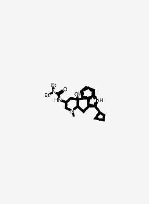 CCN(CC)C(=O)NC1CN(C)C2Cc3c(C4CCC4)[nH]c4cccc(c34)C2(O)C1